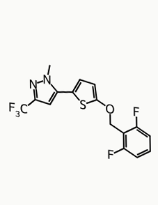 Cn1nc(C(F)(F)F)cc1-c1ccc(OCc2c(F)cccc2F)s1